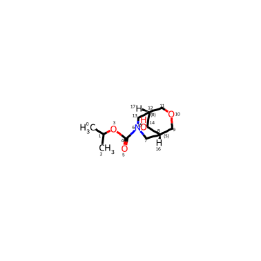 CC(C)OC(=O)N1C[C@H]2COC[C@@H](C1)C2O